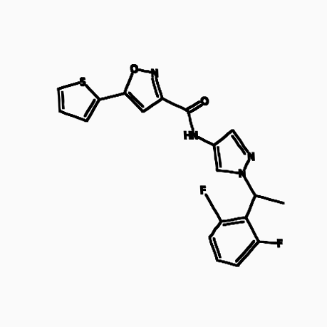 CC(c1c(F)cccc1F)n1cc(NC(=O)c2cc(-c3cccs3)on2)cn1